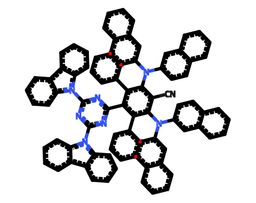 N#Cc1c(N(c2ccc3ccccc3c2)c2ccc3ccccc3c2)c(-c2ccccc2)c(-c2nc(-n3c4ccccc4c4ccccc43)nc(-n3c4ccccc4c4ccccc43)n2)c(-c2ccccc2)c1N(c1ccc2ccccc2c1)c1ccc2ccccc2c1